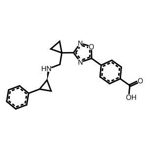 O=C(O)c1ccc(-c2nc(C3(CN[C@H]4CC4c4ccccc4)CC3)no2)cc1